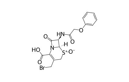 O=C(COc1ccccc1)N[C@@H]1C(=O)N2C(C(=O)O)=C(CBr)C[S+]([O-])[C@H]12